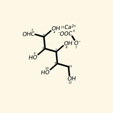 O=C([O-])[O-].O=CC(O)C(O)C(O)C(O)CO.[Ca+2]